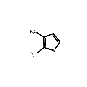 O=C(O)c1sccc1C(F)(F)F